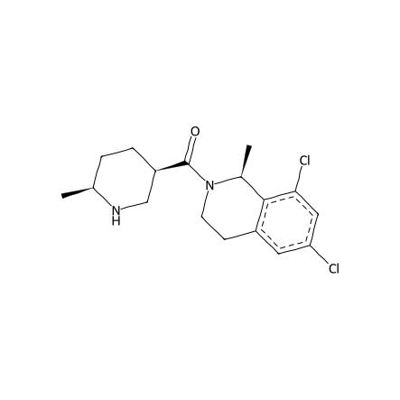 C[C@H]1CC[C@@H](C(=O)N2CCc3cc(Cl)cc(Cl)c3[C@@H]2C)CN1